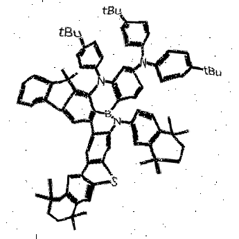 CC(C)(C)c1ccc(N(c2ccc(C(C)(C)C)cc2)c2ccc3c(c2)N(c2ccc(C(C)(C)C)cc2)c2c4c(cc5c2C(C)(C)c2ccccc2-5)-c2cc5c(cc2N(c2ccc6c(c2)C(C)(C)CCC6(C)C)B34)sc2cc3c(cc25)C(C)(C)CCC3(C)C)cc1